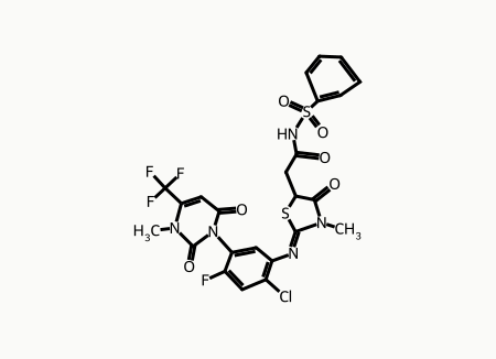 CN1C(=O)C(CC(=O)NS(=O)(=O)c2ccccc2)SC1=Nc1cc(-n2c(=O)cc(C(F)(F)F)n(C)c2=O)c(F)cc1Cl